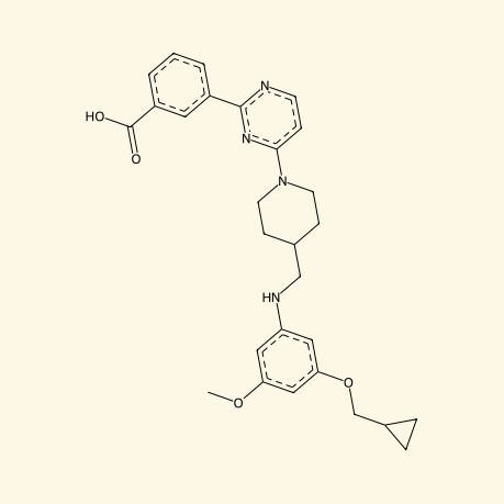 COc1cc(NCC2CCN(c3ccnc(-c4cccc(C(=O)O)c4)n3)CC2)cc(OCC2CC2)c1